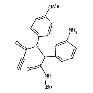 C#CC(=O)N(c1ccc(OC)cc1)C(C(=O)NC(C)(C)C)c1cccc(N)c1